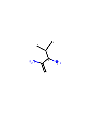 C=C(N)C(N)C(C)C